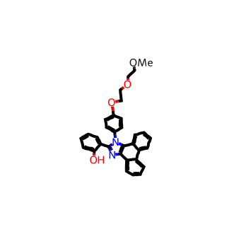 COCCOCCOc1ccc(-n2c(-c3ccccc3O)nc3c4ccccc4c4ccccc4c32)cc1